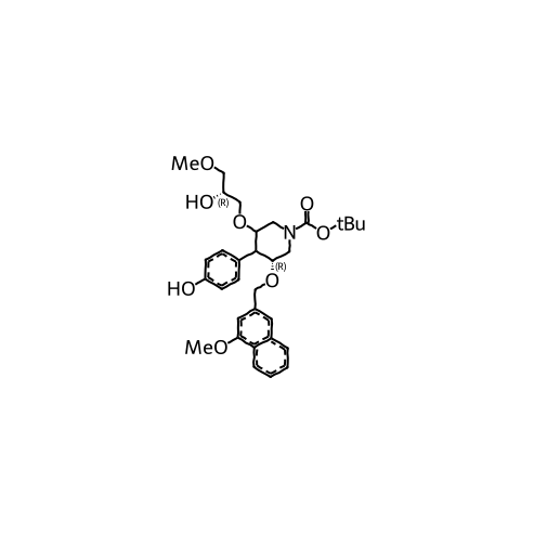 COC[C@@H](O)COC1CN(C(=O)OC(C)(C)C)C[C@H](OCc2cc(OC)c3ccccc3c2)C1c1ccc(O)cc1